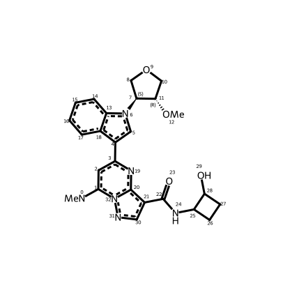 CNc1cc(-c2cn([C@H]3COC[C@@H]3OC)c3ccccc23)nc2c(C(=O)NC3CCC3O)cnn12